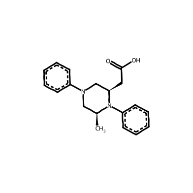 C[C@H]1CN(c2ccccc2)C[C@@H](CC(=O)O)N1c1ccccc1